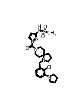 CS(=O)(=O)Nc1ccn(C(=O)N2CCC3(CCCN3Cc3cccc(N4CCCC4)c3Cl)CC2)n1